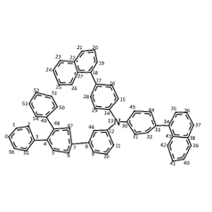 c1ccc(-c2ccc(-c3cccc(N(c4ccc(-c5cccc6ccccc56)cc4)c4ccc(-c5cccc6ccccc56)cc4)c3)cc2-c2ccccc2)cc1